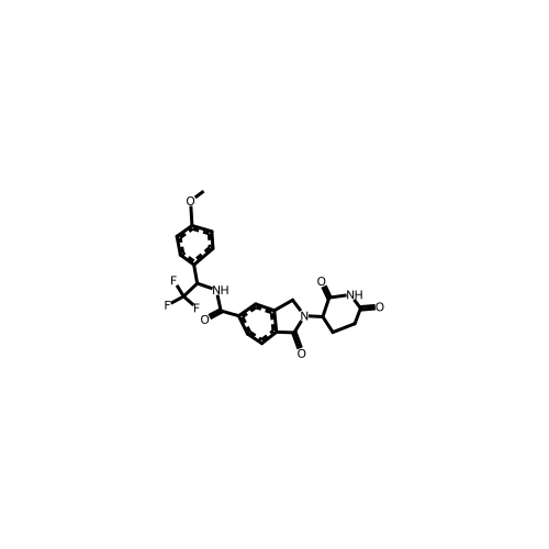 COc1ccc(C(NC(=O)c2ccc3c(c2)CN(C2CCC(=O)NC2=O)C3=O)C(F)(F)F)cc1